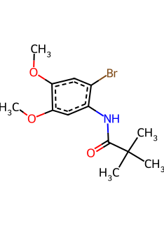 COc1cc(Br)c(NC(=O)C(C)(C)C)cc1OC